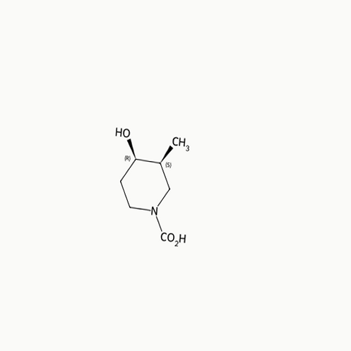 C[C@H]1CN(C(=O)O)CC[C@H]1O